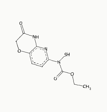 CCOC(=O)N(S)c1ccc2c(n1)NC(=O)CO2